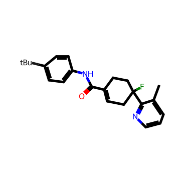 Cc1cccnc1C1(F)CC=C(C(=O)Nc2ccc(C(C)(C)C)cc2)CC1